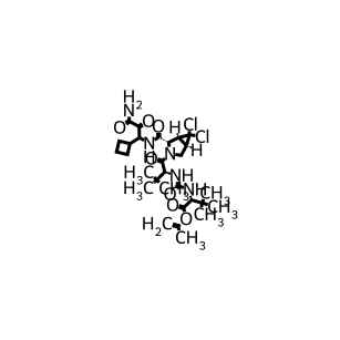 C=C(C)OC(=O)[C@@H](NC(=O)N[C@H](C(=O)N1C[C@H]2[C@@H]([C@H]1C(=O)NC(C(=O)C(N)=O)C1CCC1)C2(Cl)Cl)C(C)(C)C)C(C)(C)C